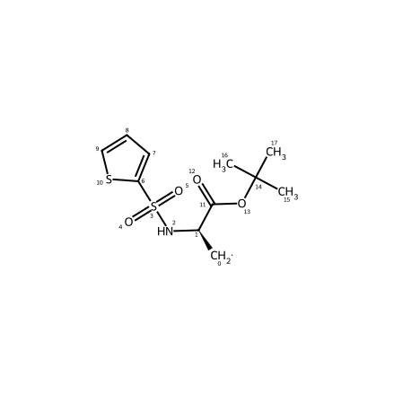 [CH2][C@@H](NS(=O)(=O)c1cccs1)C(=O)OC(C)(C)C